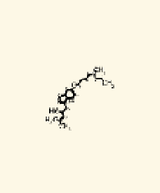 C=CCN(C)CC=CCOc1ccc2c(CC(O)C=C(C)C)nsc2c1